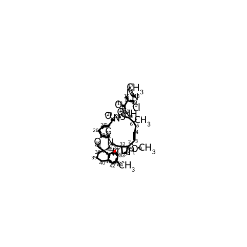 CO[C@H]1/C=C/C[C@H](C)C[S@@](=O)(NC(=O)c2cn(C)nc2Cl)=NC(=O)c2ccc3c(c2)N(C[C@@H]2CC[C@H]21)C[C@@]1(CCCc2cc(C)ccc21)CO3